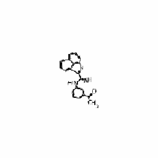 CC(=O)c1cccc(NC(=N)C2=Nc3cccc4cccc2c34)c1